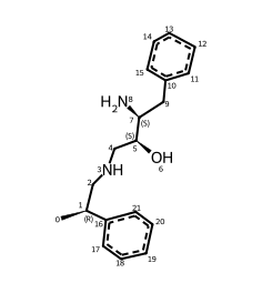 C[C@@H](CNC[C@H](O)[C@@H](N)Cc1ccccc1)c1ccccc1